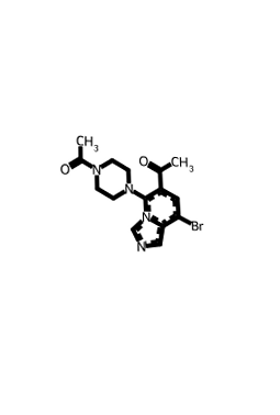 CC(=O)c1cc(Br)c2cncn2c1N1CCN(C(C)=O)CC1